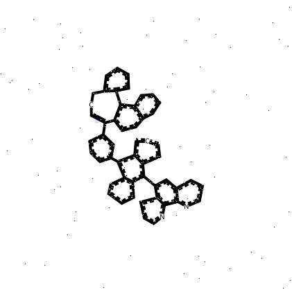 C1=C(/c2cccc(-c3c4ccccc4c(-c4cc5cccnc5c5ncccc45)c4ccccc34)c2)c2ccc3ccccc3c2-c2ccccc2CC/1